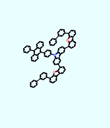 c1ccc(-c2cccc(-c3cccc4c3oc3c(-c5ccc6c(c5)c5cc(-c7cccc8c7oc7c(-c9cccc(-c%10ccccc%10)c9)cccc78)ccc5n6-c5ccc(-c6c7ccccc7c(-c7ccccc7)c7ccccc67)cc5)cccc34)c2)cc1